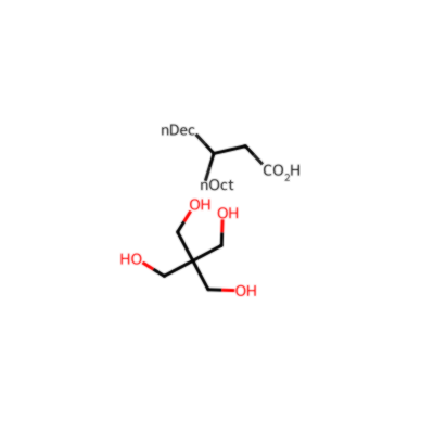 CCCCCCCCCCC(CCCCCCCC)CC(=O)O.OCC(CO)(CO)CO